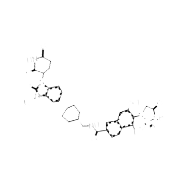 Cn1c(=O)n(C2CCC(=O)NC2=O)c2ccc([C@H]3CC[C@H](CNC(=O)c4ccc5c(F)c(N6CC(=O)NS6(=O)=O)c(O)cc5c4)CC3)cc21